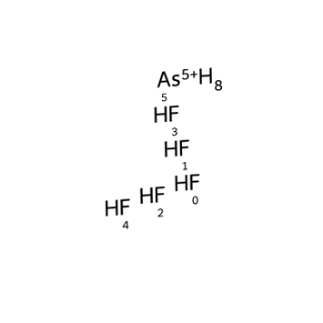 F.F.F.F.F.[AsH8+5]